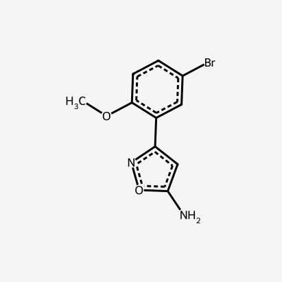 COc1ccc(Br)cc1-c1cc(N)on1